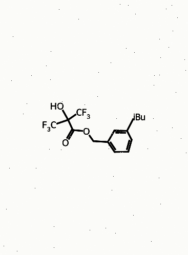 CCC(C)c1cccc(COC(=O)C(O)(C(F)(F)F)C(F)(F)F)c1